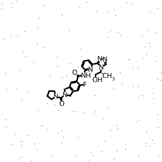 C[C@H](CO)n1cnnc1-c1cccc(NC(=O)c2cc3c(cc2F)CN(C(=O)N2CCCC2)C3)n1